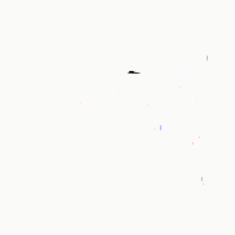 CN1C[C@H](c2cccc(OC(F)(F)C(F)F)c2)[C@@H](C(=O)Nc2ccccc2[S+](C)[O-])C1=O